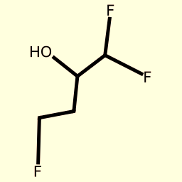 OC(CCF)C(F)F